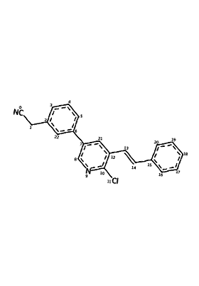 N#CCc1cccc(-c2cnc(Cl)c(/C=C/c3ccccc3)c2)c1